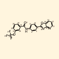 O=C(Nc1ccc(-c2nc3ncccc3o2)cc1)c1cccc(OC(F)(F)F)c1